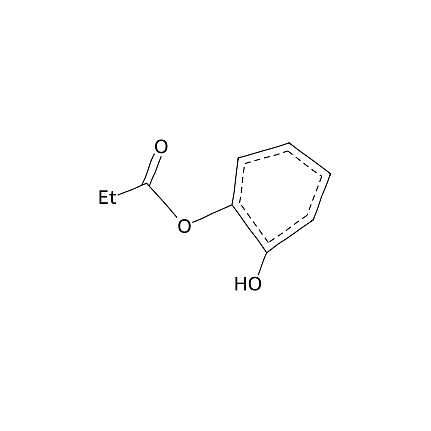 [CH2]CC(=O)Oc1ccccc1O